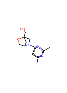 Cc1nc(I)cc(N2CC3(CO)CC2CO3)n1